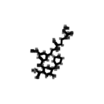 CCc1nc(C(N)=O)c(Nc2cc(CCNC(=O)CCNC(=O)OC(C)(C)C)cc(OC)c2)nc1NC1CCOCC1